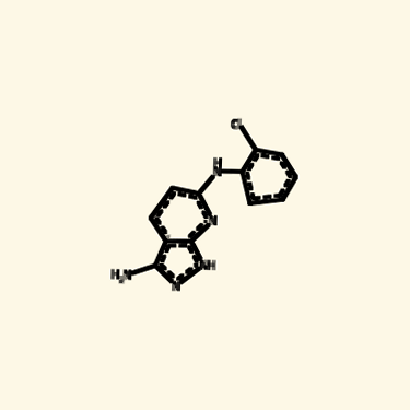 Nc1n[nH]c2nc(Nc3ccccc3Cl)ccc12